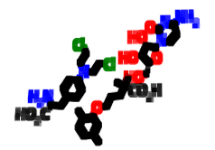 Cc1ccc(C)c(OCCCC(C)(C)C(=O)O)c1.N[C@@H](Cc1ccc(N(CCCl)CCCl)cc1)C(=O)O.Nc1ccn([C@@H]2O[C@H](CO)[C@@H](O)[C@@H]2O)c(=O)n1